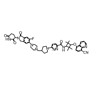 CC1(C)C(NC(=O)c2ccc(N3CCC(CN4CCN(c5cc6c(cc5F)C(=O)N(C5CCC(=O)NC5=O)C6)CC4)CC3)nn2)C(C)(C)C1Oc1ccc(C#N)c2ncccc12